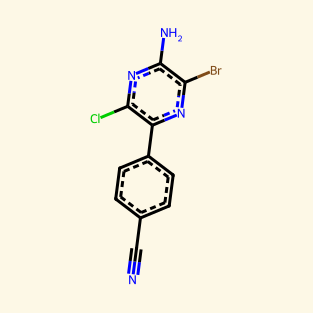 N#Cc1ccc(-c2nc(Br)c(N)nc2Cl)cc1